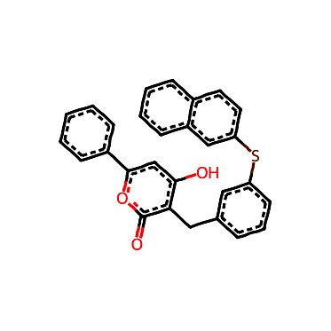 O=c1oc(-c2ccccc2)cc(O)c1Cc1cccc(Sc2ccc3ccccc3c2)c1